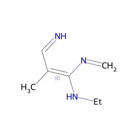 C=N/C(NCC)=C(/C)C=N